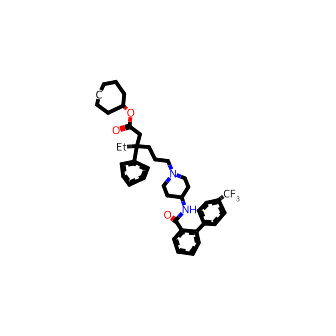 CCC(CCCN1CCC(NC(=O)c2ccccc2-c2ccc(C(F)(F)F)cc2)CC1)(CC(=O)OC1CCCCCC1)c1ccccc1